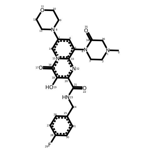 CN1CCN(c2cc(N3CCOCC3)cn3c(=O)c(O)c(C(=O)NCc4ccc(F)cc4)nc23)C(=O)C1